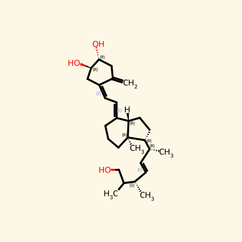 C=C1C[C@@H](O)[C@H](O)C/C1=C/C=C1\CCC[C@]2(C)[C@@H]([C@H](C)/C=C/[C@H](C)C(C)CO)CC[C@@H]12